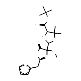 COC1(C2NC(C(=O)OC(C)(C)C)C(C)(C)S2)N=C(Cc2cccs2)OC1=O